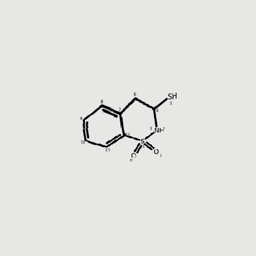 O=S1(=O)NC(S)Cc2ccccc21